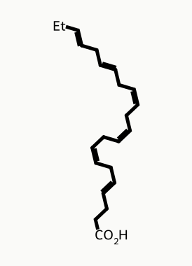 CC/C=C/C/C=C/C/C=C\C/C=C\C/C=C\C/C=C/CCC(=O)O